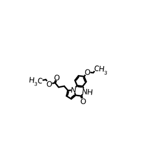 CCOC(=O)CCc1ccc2c(=O)[nH]c3cc(OCC)ccc3n12